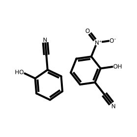 N#Cc1cccc([N+](=O)[O-])c1O.N#Cc1ccccc1O